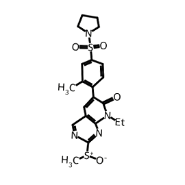 CCn1c(=O)c(-c2ccc(S(=O)(=O)N3CCCC3)cc2C)cc2cnc([S+](C)[O-])nc21